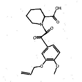 C=CCOc1cc(C(=O)C(=O)N2CCCCC2C(=O)O)ccc1OC